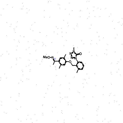 CO/N=C(\C)c1cc(C)c(OCc2c(C)cccc2-n2nnn(C)c2=O)cc1C